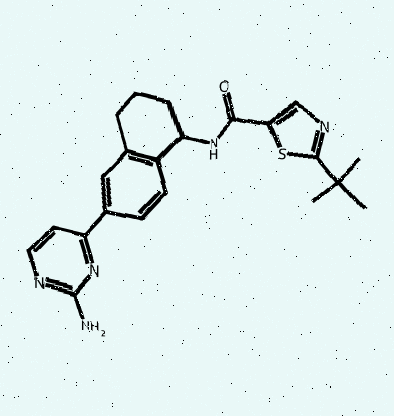 CC(C)(C)c1ncc(C(=O)NC2CCCc3cc(-c4ccnc(N)n4)ccc32)s1